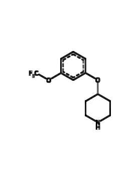 FC(F)(F)Oc1cccc(OC2CCNCC2)c1